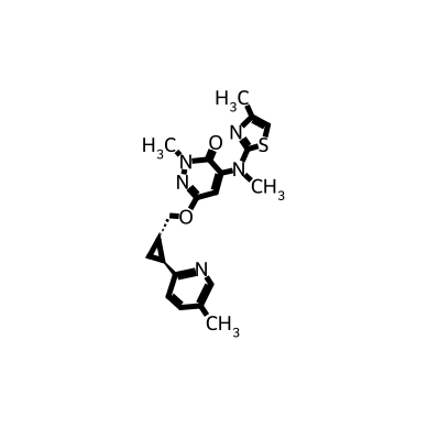 Cc1ccc([C@H]2C[C@@H]2COc2cc(N(C)c3nc(C)cs3)c(=O)n(C)n2)nc1